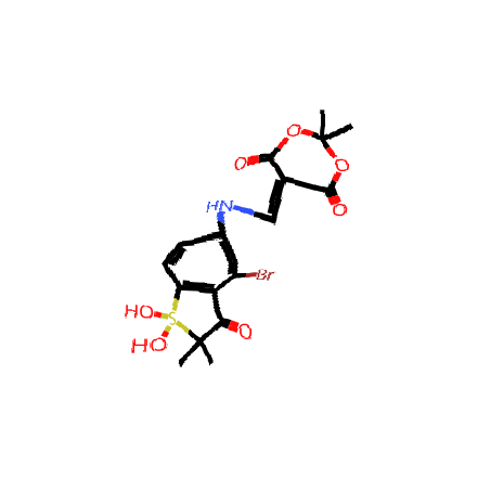 CC1(C)OC(=O)C(=CNc2ccc3c(c2Br)C(=O)C(C)(C)S3(O)O)C(=O)O1